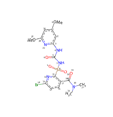 COc1cc(NC(=O)NS(=O)(=O)c2nc(Br)ccc2C(=O)N(C)C)nc(OC)c1